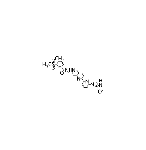 Cc1ccc(C(=O)NCc2cc3nc(-c4cccc(N5CC[C@]6(COCCN6)C5)n4)ccc3cn2)cc1S(C)(=O)=O